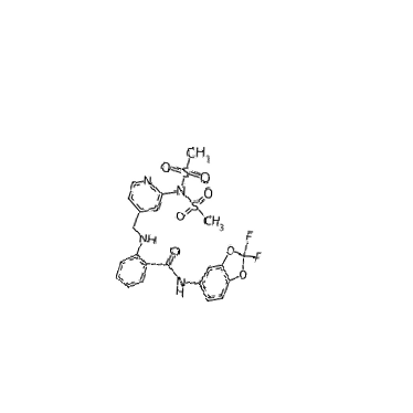 CS(=O)(=O)N(c1cc(CNc2ccccc2C(=O)Nc2ccc3c(c2)OC(F)(F)O3)ccn1)S(C)(=O)=O